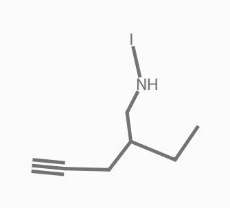 C#CCC(CC)CNI